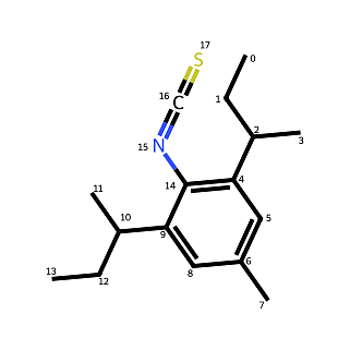 CCC(C)c1cc(C)cc(C(C)CC)c1N=C=S